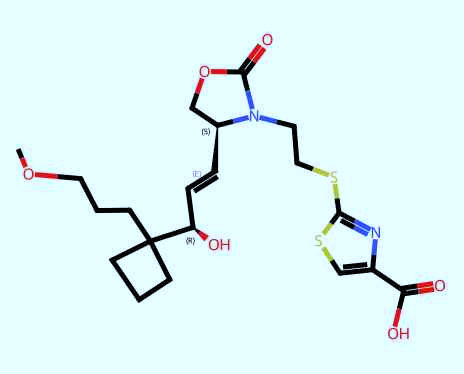 COCCCC1([C@H](O)/C=C/[C@H]2COC(=O)N2CCSc2nc(C(=O)O)cs2)CCC1